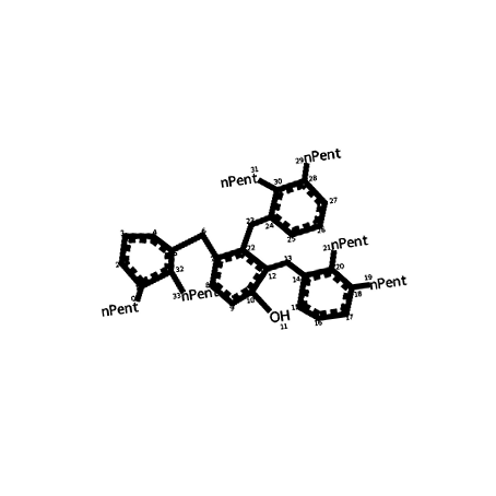 CCCCCc1cccc(Cc2ccc(O)c(Cc3cccc(CCCCC)c3CCCCC)c2Cc2cccc(CCCCC)c2CCCCC)c1CCCCC